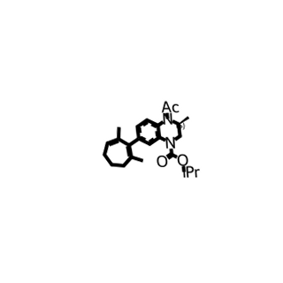 CC(=O)N1c2ccc(C3=C(C)CCCC=C3C)cc2N(C(=O)OC(C)C)C[C@@H]1C